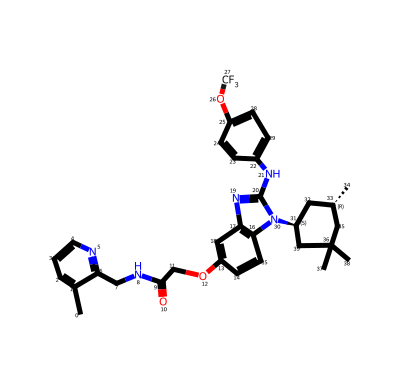 Cc1cccnc1CNC(=O)COc1ccc2c(c1)nc(Nc1ccc(OC(F)(F)F)cc1)n2[C@H]1C[C@H](C)CC(C)(C)C1